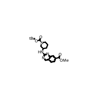 COC(=O)c1ccc2cnc(NC3CCCN(C(=O)OC(C)(C)C)C3)nc2c1